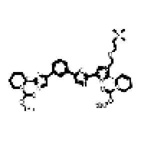 CC(C)(C)OC(=O)N1CCC=C[C@H]1c1nc(-c2ncc(-c3cccc(-c4cnc([C@@H]5CCCCN5C(=O)OC(C)(C)C)[nH]4)c3)o2)cn1COCC[Si](C)(C)C